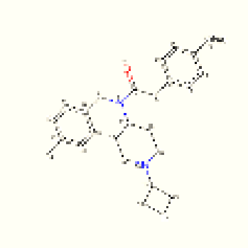 COc1ccc(CC(=O)N(Cc2ccc(C)cc2)C2CCN(C3CCC3)CC2)cc1